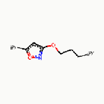 CC(C)CCCOc1cc(C(C)C)on1